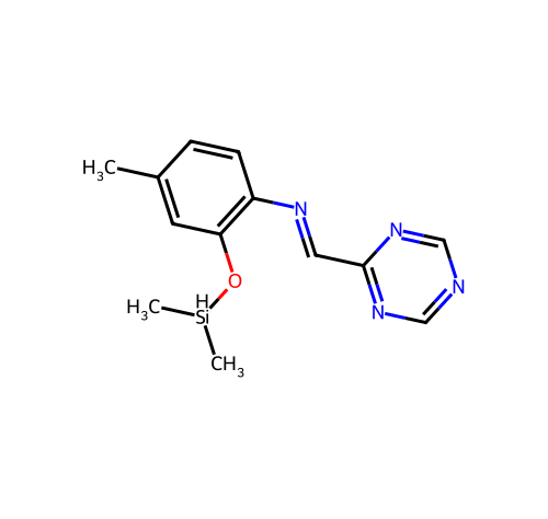 Cc1ccc(N=Cc2ncncn2)c(O[SiH](C)C)c1